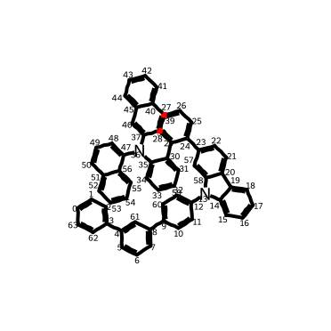 c1ccc(-c2cccc(-c3ccc(-n4c5ccccc5c5ccc(-c6ccccc6-c6ccccc6N(c6ccc7ccccc7c6)c6cccc7ccccc67)cc54)cc3)c2)cc1